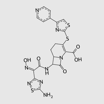 Nc1nc(/C(=N/O)C(=O)NC2C(=O)N3C(C(=O)O)=C(Sc4nc(-c5ccncc5)cs4)CCC23)ns1